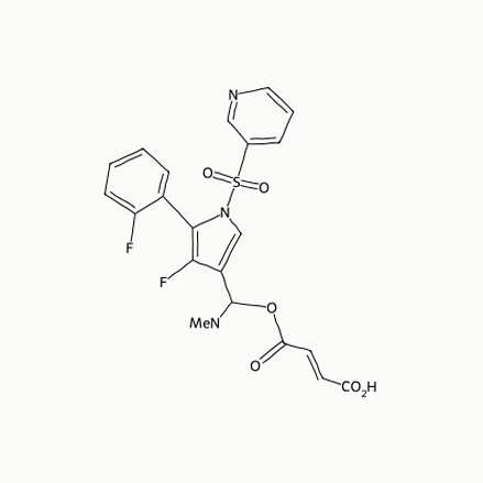 CNC(OC(=O)/C=C/C(=O)O)c1cn(S(=O)(=O)c2cccnc2)c(-c2ccccc2F)c1F